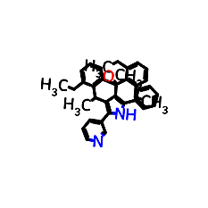 CCc1cccc(CC)c1C(=O)c1c(-c2ccccc2)[nH]c(-c2cccnc2)c1C(C)c1c(CC)cccc1CC